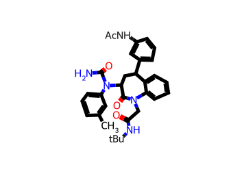 CC(=O)Nc1cccc(C2CC(N(C(N)=O)c3cccc(C)c3)C(=O)N(CC(=O)NC(C)(C)C)c3ccccc32)c1